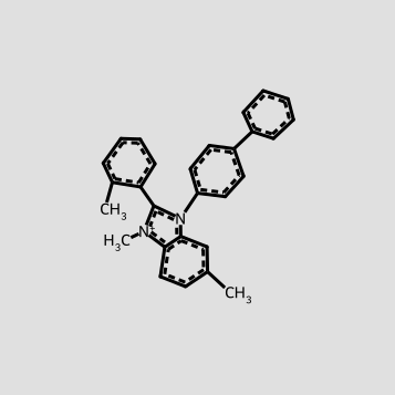 Cc1ccc2c(c1)n(-c1ccc(-c3ccccc3)cc1)c(-c1ccccc1C)[n+]2C